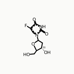 O=c1[nH]c(=O)n(C2C[C@H](O)C(CO)O2)cc1F